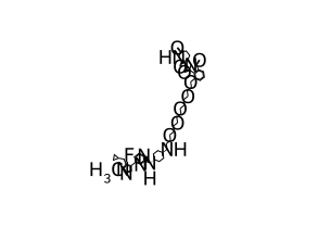 Cn1ncc(-c2nc(N[C@H]3CC[C@H](NCCOCCOCCOCCOCCOc4cccc5c4C(=O)N(C4CCC(=O)NC4=O)C5=O)CC3)ncc2F)c1CC1CC1